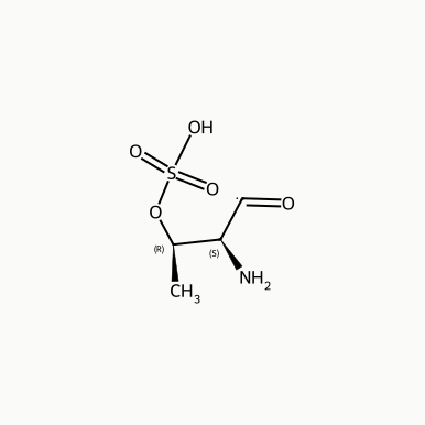 C[C@@H](OS(=O)(=O)O)[C@H](N)[C]=O